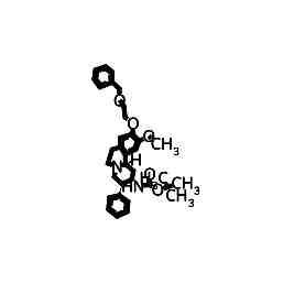 COc1cc2c(cc1OCCOCc1ccccc1)CCN1C[C@@H](c3ccccc3)[C@H](NC(=O)OC(C)(C)C)C[C@H]21